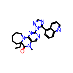 CCC12CCCCCN1c1nc(-n3ncnc3-c3cccc4ncccc34)ncc1N(C)C2=O